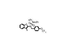 CCCN(CCC)S(=O)(=O)N(Cc1ccc(OC(F)(F)F)cc1)c1sc2ccccc2c1C